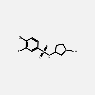 CCCCN1CCC(NS(=O)(=O)c2ccc(Cl)c(Cl)c2)C1